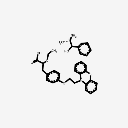 CCOC(Cc1ccc(OCCN2c3ccccc3Sc3ccccc32)cc1)C(=O)O.C[C@H](N)C(O)c1ccccc1